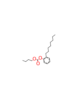 CCCCCCCCc1ccccc1OC(=O)OCCCC